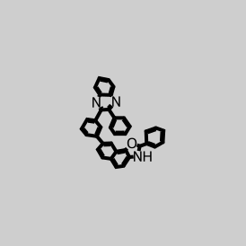 c1ccc(-c2nc3ccccc3nc2-c2cccc(-c3ccc4ccc5c(c4c3)OC(c3ccccc3)N5)c2)cc1